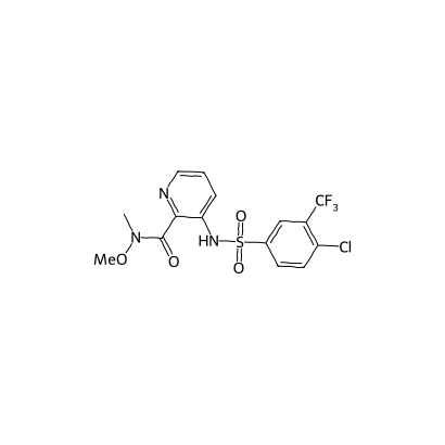 CON(C)C(=O)c1ncccc1NS(=O)(=O)c1ccc(Cl)c(C(F)(F)F)c1